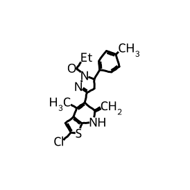 C=C1Nc2sc(Cl)cc2C(C)=C1C1=NN(C(=O)CC)C(c2ccc(C)cc2)C1